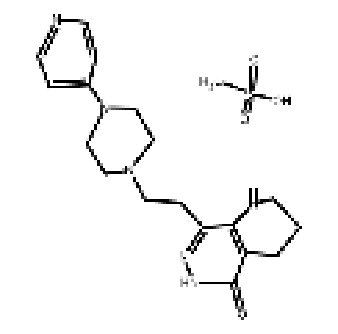 CS(=O)(=O)O.O=c1[nH]nc(CCN2CCN(c3ccncc3)CC2)c2c1CCCN2